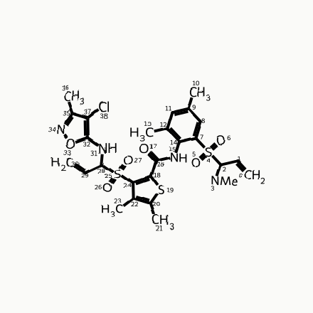 C=CC(NC)S(=O)(=O)c1cc(C)cc(C)c1NC(=O)c1sc(C)c(C)c1S(=O)(=O)C(C=C)Nc1onc(C)c1Cl